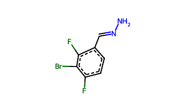 N/N=C/c1ccc(F)c(Br)c1F